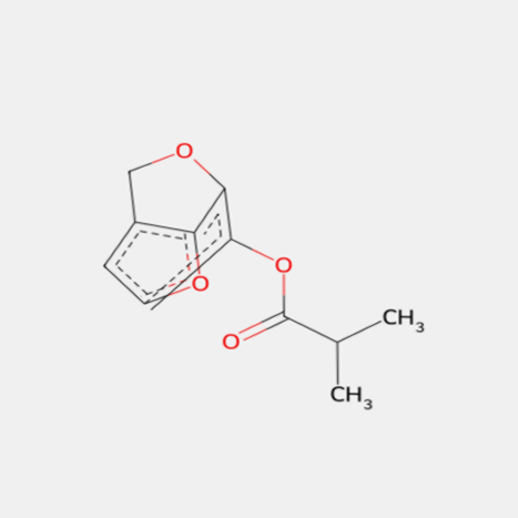 CC(C)C(=O)Oc1c2c3oc1cc3CO2